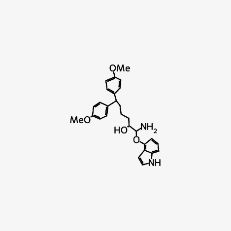 COc1ccc(C(CCC[C@H](O)C(N)Oc2cccc3[nH]ccc23)c2ccc(OC)cc2)cc1